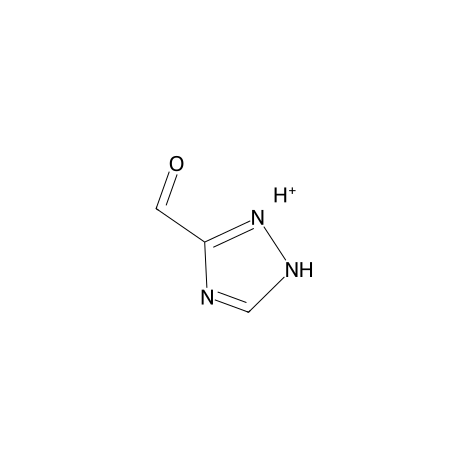 O=Cc1nc[nH]n1.[H+]